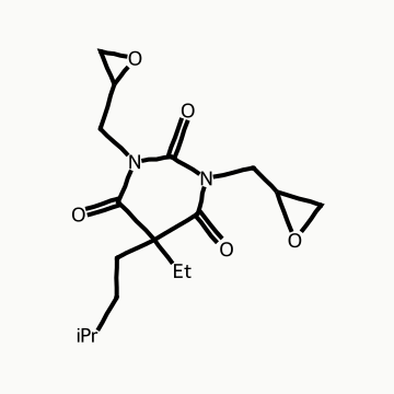 CCC1(CCC(C)C)C(=O)N(CC2CO2)C(=O)N(CC2CO2)C1=O